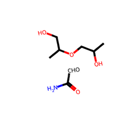 CC(O)COC(C)CO.NC(=O)C=O